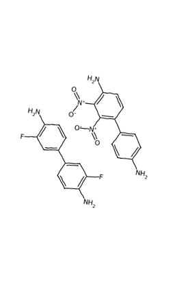 Nc1ccc(-c2ccc(N)c(F)c2)cc1F.Nc1ccc(-c2ccc(N)c([N+](=O)[O-])c2[N+](=O)[O-])cc1